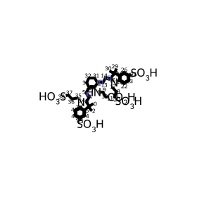 CC1(C)C(/C=C/C2=C(NCCC(=O)O)C(=C/C=C3\N(CCCS(=O)(=O)O)c4ccc(S(=O)(=O)O)cc4C3(C)C)/CCC2)=[N+](CCCS(=O)(=O)O)c2ccc(S(=O)(=O)O)cc21